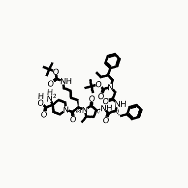 CCC(CN(CC(=O)N[C@H](Cc1ccccc1)C(=O)N[C@@H]1CC(C)N([C@H](CCCCNC(=O)OC(C)(C)C)C(=O)N2CCC(N)(C(=O)O)CC2)C1=O)C(=O)OC(C)(C)C)c1ccccc1